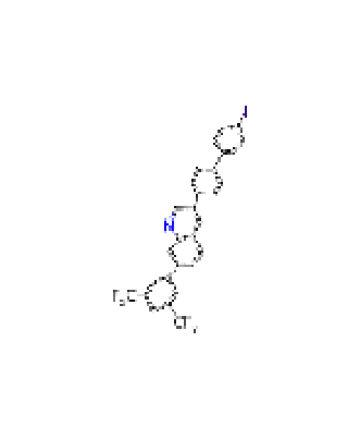 FC(F)(F)c1cc(-c2ccc3cc(-c4ccc(-c5ccc(I)cc5)cc4)cnc3c2)cc(C(F)(F)F)c1